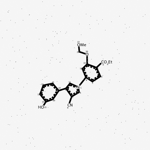 CCOC(=O)c1ccc(-n2cc(C#N)c(-c3cccc(O)c3)c2)cc1OCOC